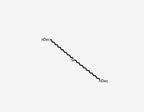 CCCCCCCCCCCCCCCCCCCCCCCCC[Si]CCCCCCCCCCCCCCCCCCCCCCCCC